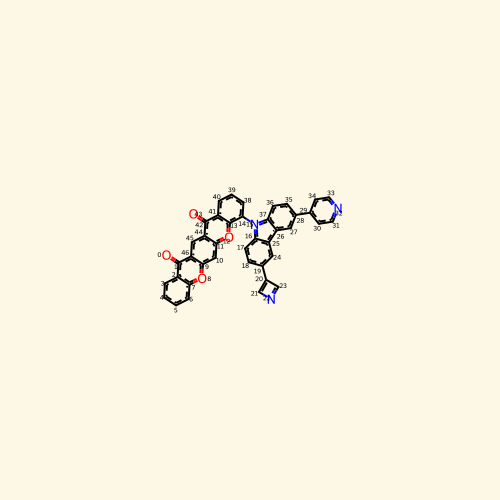 O=c1c2ccccc2oc2cc3oc4c(-n5c6ccc(C7=CN=C7)cc6c6cc(-c7ccncc7)ccc65)cccc4c(=O)c3cc12